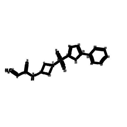 C=CC(=O)NC1CN(S(=O)(=O)c2ccc(-c3ccccc3)s2)C1